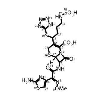 CON=C(C(=O)N[C@@H]1C(=O)N2C(C(=O)O)=C(C(CCCNS(=O)(=O)O)Sc3nnn[nH]3)CS[C@@H]12)c1csc(N)n1